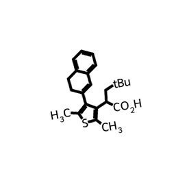 Cc1sc(C)c(C(CC(C)(C)C)C(=O)O)c1C1=Cc2ccccc2CC1